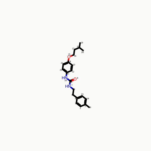 Cc1ccc(CCNC(=O)Nc2ccc(OCCC(C)C)cc2)cc1